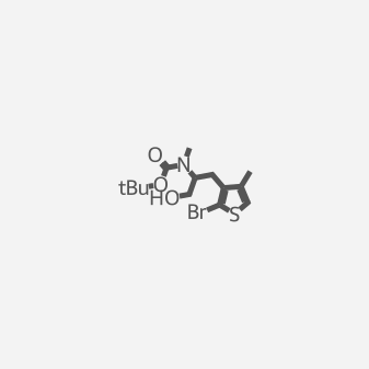 Cc1csc(Br)c1CC(CO)N(C)C(=O)OC(C)(C)C